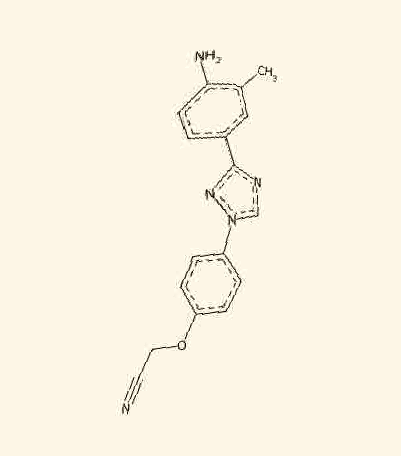 Cc1cc(-c2ncn(-c3ccc(OCC#N)cc3)n2)ccc1N